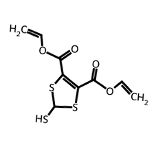 C=COC(=O)C1=C(C(=O)OC=C)SC(S)S1